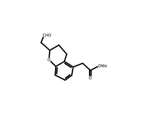 COC(=O)Cc1cccc2c1CCC(CC=O)O2